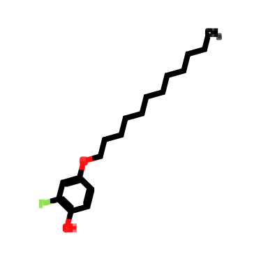 CCCCCCCCCCCCOc1ccc(O)c(F)c1